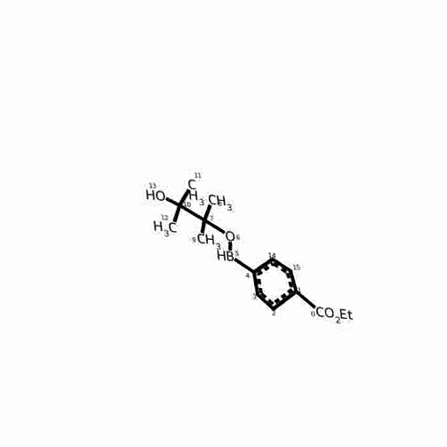 CCOC(=O)c1ccc(BOC(C)(C)C(C)(C)O)cc1